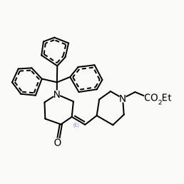 CCOC(=O)CN1CCC(/C=C2\CN(C(c3ccccc3)(c3ccccc3)c3ccccc3)CCC2=O)CC1